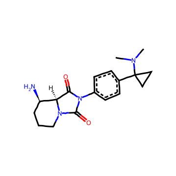 CN(C)C1(c2ccc(N3C(=O)[C@@H]4[C@H](N)CCCN4C3=O)cc2)CC1